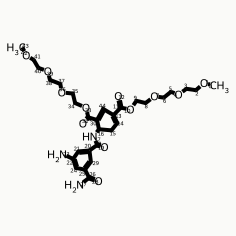 COCCOCCOCCOC(=O)C1=CCC(NC(=O)c2cc(N)cc(C(N)=O)c2)C(C(=O)OCCOCCOCCOC)=C1